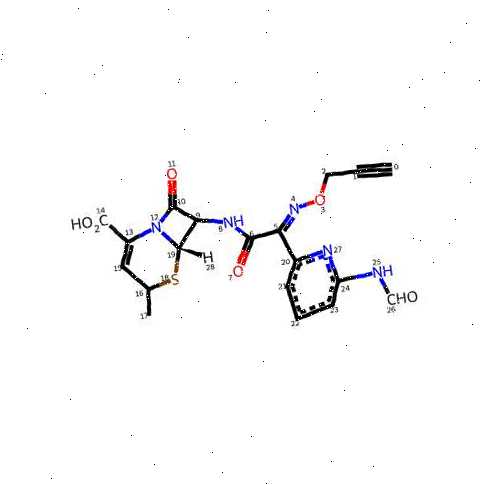 C#CCON=C(C(=O)NC1C(=O)N2C(C(=O)O)=CC(C)S[C@@H]12)c1cccc(NC=O)n1